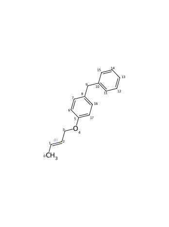 C/C=C/COc1ccc(Cc2ccccc2)cc1